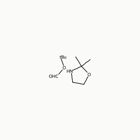 CC(C)(C)OC=O.CC1(C)NCCO1